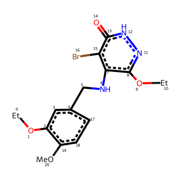 CCOc1cc(CNc2c(OCC)n[nH]c(=O)c2Br)ccc1OC